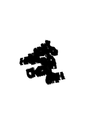 O=C(N[C@H]1CCC[C@@H](n2c(-c3ccccc3F)nc3cnc(-c4nc[nH]n4)cc32)C1)c1cc(Cl)ccc1OC(CO)CO